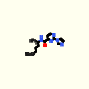 CCC[C@H](CCCOC)NC(=O)c1ccnc(-n2ccnc2)n1